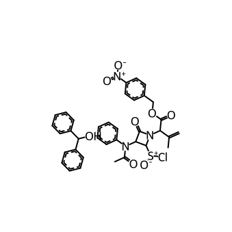 C=C(C)C(C(=O)OCc1ccc([N+](=O)[O-])cc1)N1C(=O)C(N(C(C)=O)c2ccccc2)C1[S+]([O-])Cl.OC(c1ccccc1)c1ccccc1